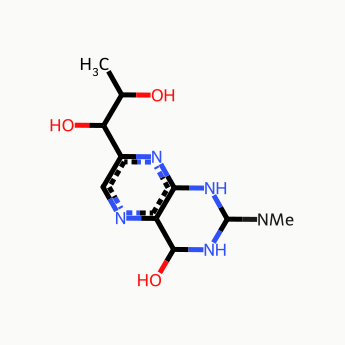 CNC1Nc2nc(C(O)C(C)O)cnc2C(O)N1